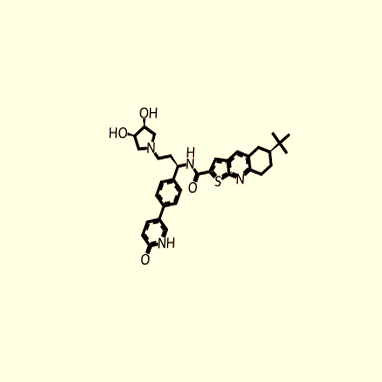 CC(C)(C)[C@H]1CCc2nc3sc(C(=O)N[C@H](CCN4C[C@@H](O)[C@@H](O)C4)c4ccc(-c5ccc(=O)[nH]c5)cc4)cc3cc2C1